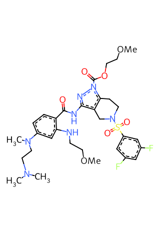 COCCNc1cc(N(C)CCN(C)C)ccc1C(=O)Nc1nn(C(=O)OCCOC)c2c1CN(S(=O)(=O)c1cc(F)cc(F)c1)CC2